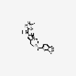 Cc1nnc(Nc2cc3n(n2)CCN(C(C)c2ccc4scnc4c2)CC3)s1